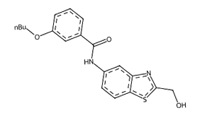 CCCCOc1cccc(C(=O)Nc2ccc3sc(CO)nc3c2)c1